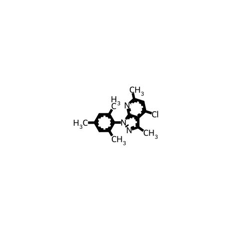 Cc1cc(C)c(-n2nc(C)c3c(Cl)cc(C)nc32)c(C)c1